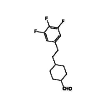 O=CC1CCC(CCc2cc(F)c(F)c(F)c2)CC1